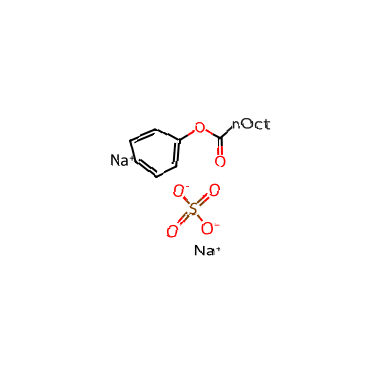 CCCCCCCCC(=O)Oc1ccccc1.O=S(=O)([O-])[O-].[Na+].[Na+]